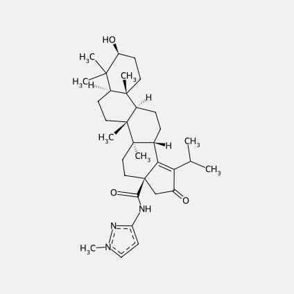 CC(C)C1=C2[C@H]3CC[C@@H]4[C@@]5(C)CC[C@H](O)C(C)(C)[C@@H]5CC[C@@]4(C)[C@]3(C)CC[C@@]2(C(=O)Nc2ccn(C)n2)CC1=O